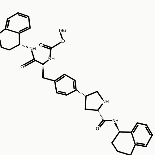 CC(C)(C)OC(=O)N[C@@H](Cc1ccc([C@@H]2CN[C@H](C(=O)N[C@@H]3CCCc4ccccc43)C2)cc1)C(=O)N[C@@H]1CCCc2ccccc21